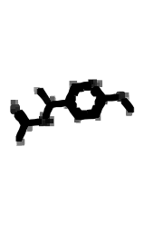 COc1ccc([C@H](C)NC(C)=O)cn1